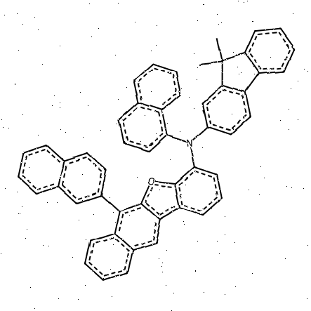 CC1(C)c2ccccc2-c2ccc(N(c3cccc4ccccc34)c3cccc4c3oc3c(-c5ccc6ccccc6c5)c5ccccc5cc34)cc21